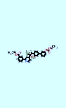 CCOC(=O)Oc1cccc(-c2ccc(C(C)C(O)(c3ccnc(-c4cccc(C(=O)OCC)c4)c3)C(F)(F)F)c(Cl)c2)c1